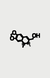 C[C@H]1C(CO)=Cc2cc3c(cc2[C@@H]1C)OCO3